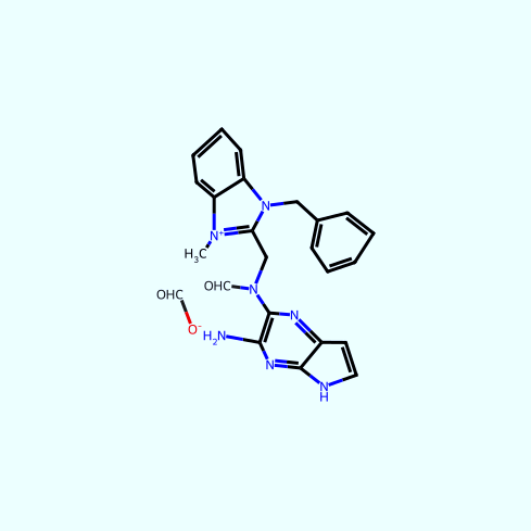 C[n+]1c(CN(C=O)c2nc3cc[nH]c3nc2N)n(Cc2ccccc2)c2ccccc21.O=C[O-]